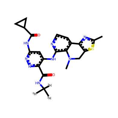 [2H]C([2H])([2H])NC(=O)c1nnc(NC(=O)C2CC2)cc1Nc1nccc2c1N(C)Cc1sc(C)nc1-2